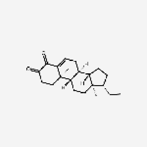 CC[C@H]1CC[C@H]2[C@@H]3CC=C4C(=O)C(=O)CC[C@]4(C)[C@H]3CC[C@]12C